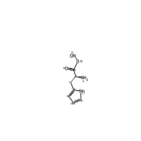 N[C@@H](Cc1cnc[nH]1)C(=O)ON=O